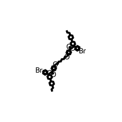 CCCC1CCC(C2CCC(OC(=O)c3ccc(OCCCCCCOc4ccc(C(=O)OC5(c6ccc(Br)cc6)CCC(C6CCC(CCC)CC6)CC5)cc4)cc3)(c3ccc(Br)cc3)CC2)CC1